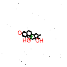 CC1CC2C3CCC4=CC(=O)C=CC4(C)C3(F)C(O)CC2(C)C1(C)O